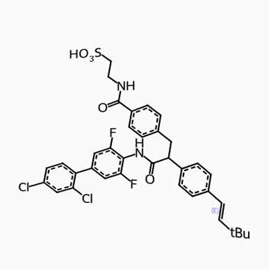 CC(C)(C)/C=C/c1ccc(C(Cc2ccc(C(=O)NCCS(=O)(=O)O)cc2)C(=O)Nc2c(F)cc(-c3ccc(Cl)cc3Cl)cc2F)cc1